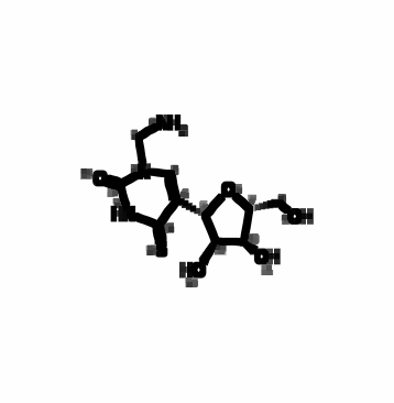 NCn1cc([C@@H]2O[C@H](CO)[C@@H](O)[C@H]2O)c(=S)[nH]c1=O